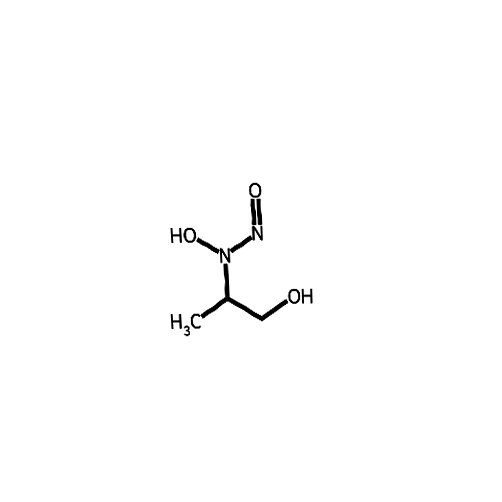 CC(CO)N(O)N=O